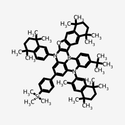 Cc1cc2c(cc1N1c3cc(C(C)(C)C)ccc3B3c4c1cc(-c1ccc([Si](C)(C)C)cc1)cc4N(c1ccc4c(c1)C(C)(C)CCC4(C)C)c1oc4cc5c(cc4c13)C(C)(C)CCC5(C)C)C(C)(C)CCC2(C)C